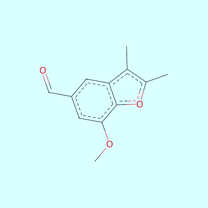 COc1cc(C=O)cc2c(C)c(C)oc12